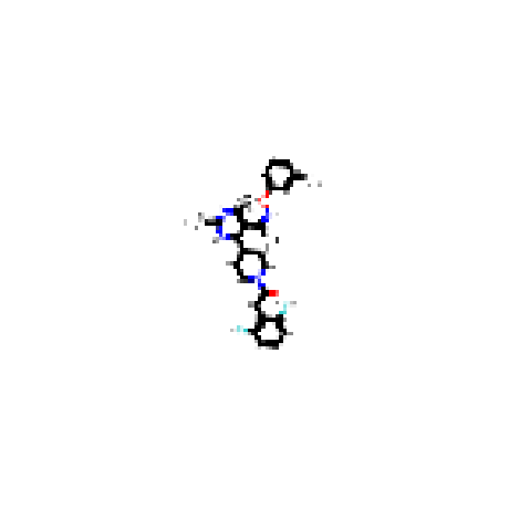 CC(=NOc1cccc(C(F)(F)F)c1)c1c(C)nc(C)nc1C1CCN(C(=O)Cc2c(F)cccc2F)CC1